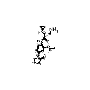 NC[C@H](NC1CC1)C(=O)Nc1ccc(N2CCOCC2=O)cc1OC(F)F